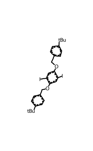 CC(C)(C)c1ccc(COc2cc(I)c(OCc3ccc(C(C)(C)C)cc3)cc2I)cc1